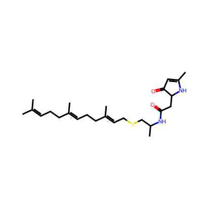 CC(C)=CCC/C(C)=C/CC/C(C)=C/CSCC(C)NC(=O)CC1NC(C)=CC1=O